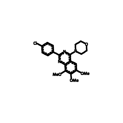 COc1cc2c(N3CCOCC3)nc(-c3ccc(Cl)cc3)nc2c(OC)c1OC